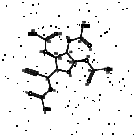 C#CC(OC(=O)CCCC)C1O[C@H](OC(=O)CCCC)C(OC(=O)CCCC)[C@@H]1OC(=O)CCCC